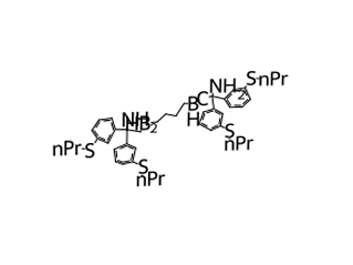 CCCSc1cccc(C(N)(CBCCCCBCC(N)(c2cccc(SCCC)c2)c2cccc(SCCC)c2)c2cccc(SCCC)c2)c1